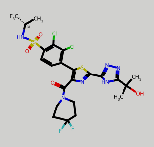 C[C@H](NS(=O)(=O)c1ccc(-c2sc(-c3nnc(C(C)(C)O)[nH]3)nc2C(=O)N2CCC(F)(F)CC2)c(Cl)c1Cl)C(F)(F)F